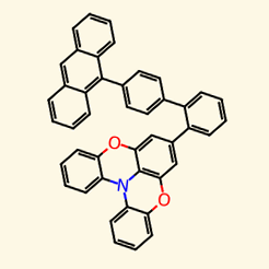 c1ccc2c(c1)Oc1cc(-c3ccccc3-c3ccc(-c4c5ccccc5cc5ccccc45)cc3)cc3c1N2c1ccccc1O3